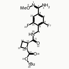 CO/N=C(/N)c1cc(F)c(CNC(=O)[C@@H]2CCN2C(=O)OC(C)(C)C)c(F)c1